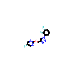 Fc1cnc(OCc2cn(-c3cccc(F)c3F)nn2)nc1